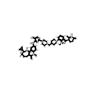 C=C1CCC(c2nn(C)c3c(N4CCC(CN5CCN(c6ncc(Cl)c(Nc7ccc8c(c7)C7=C(CCC(F)(F)C(C9CC9)N7)C(=C)N8C)n6)CC5)CC4)cccc23)C(=C)N1